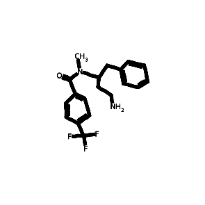 CN(C(=O)c1ccc(C(F)(F)F)cc1)C(CCN)Cc1ccccc1